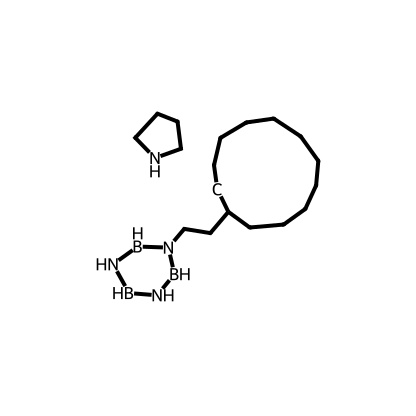 B1NBN(CCC2CCCCCCCCCCC2)BN1.C1CCNC1